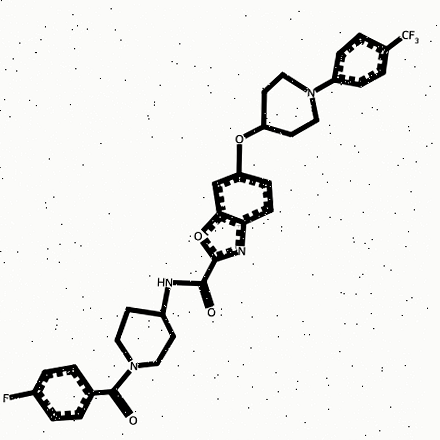 O=C(NC1CCN(C(=O)c2ccc(F)cc2)CC1)c1nc2ccc(OC3CCN(c4ccc(C(F)(F)F)cc4)CC3)cc2o1